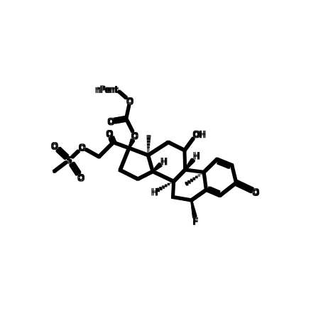 CCCCCOC(=O)O[C@]1(C(=O)COS(C)(=O)=O)CC[C@H]2[C@@H]3C[C@H](F)C4=CC(=O)C=C[C@]4(C)[C@H]3C(O)C[C@@]21C